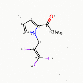 COC(=O)c1cccn1CC(I)=C(I)I